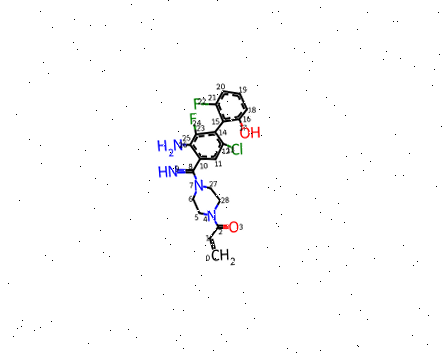 C=CC(=O)N1CCN(C(=N)c2cc(Cl)c(-c3c(O)cccc3F)c(F)c2N)CC1